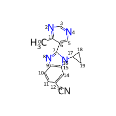 Cc1ncncc1-c1nc2ccc(C#N)cc2n1C1CC1